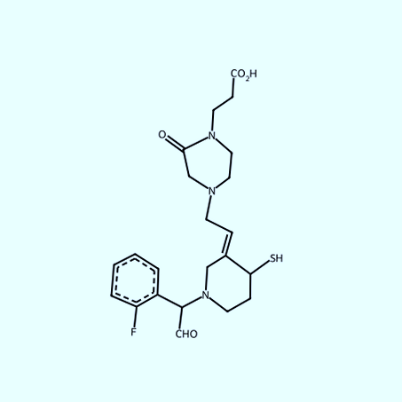 O=CC(c1ccccc1F)N1CCC(S)/C(=C/CN2CCN(CCC(=O)O)C(=O)C2)C1